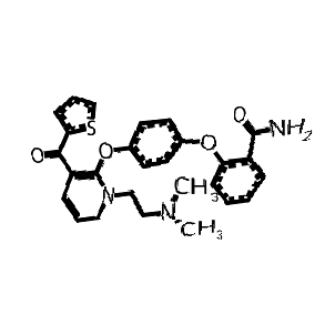 CN(C)CCN1CC=CC(C(=O)c2cccs2)=C1Oc1ccc(Oc2ccccc2C(N)=O)cc1